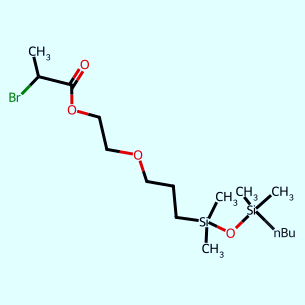 CCCC[Si](C)(C)O[Si](C)(C)CCCOCCOC(=O)C(C)Br